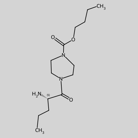 CCCCOC(=O)N1CCN(C(=O)[C@@H](N)CCC)CC1